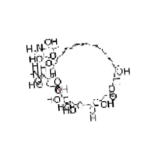 CNC(=O)N[C@H]1[C@@H]2C[C@@H](O[C@@H]3O[C@H](C)[C@@H](O)[C@H](N)[C@@H]3O)/C=C/C=C/C=C/C=C/C=C/C=C/C=C/C(C)[C@@H](O)[C@@H](C)[C@H](C)OC(=O)C[C@H](O)C[C@H](O)CC[C@@H](O)[C@H](O)C[C@H](O)C[C@](O)(C[C@@H]1O)O2